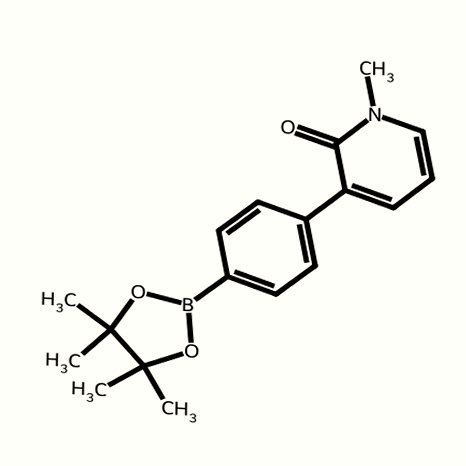 Cn1cccc(-c2ccc(B3OC(C)(C)C(C)(C)O3)cc2)c1=O